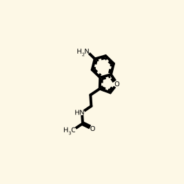 CC(=O)NCCc1coc2ccc(N)cc12